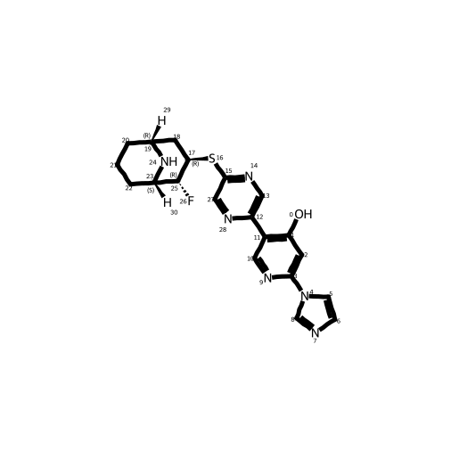 Oc1cc(-n2ccnc2)ncc1-c1cnc(S[C@@H]2C[C@H]3CCC[C@H](N3)[C@H]2F)cn1